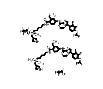 CCc1cc(Nc2nccn3c(-c4ccc(OC(F)F)c(F)c4F)cnc23)ccc1C(=O)NCCCCC[N+](C)(C)CC1CNC1.CCc1cc(Nc2nccn3c(-c4ccc(OC(F)F)c(F)c4F)cnc23)ccc1C(=O)NCCCCC[N+](C)(C)CC1CNC1.O=C([O-])C(F)(F)F.O=C([O-])C(F)(F)F